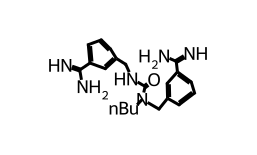 CCCCN(Cc1cccc(C(=N)N)c1)C(=O)NCc1cccc(C(=N)N)c1